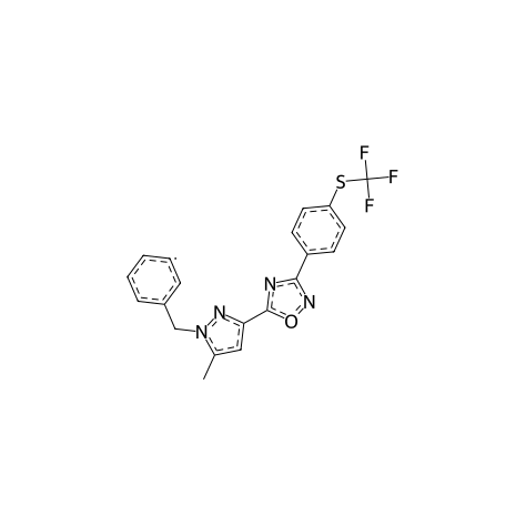 Cc1cc(-c2nc(-c3ccc(SC(F)(F)F)cc3)no2)nn1Cc1c[c]ccc1